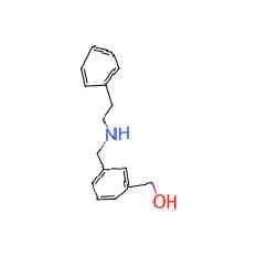 OCc1cccc(CNCCc2ccccc2)c1